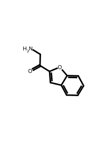 NCC(=O)c1cc2ccccc2o1